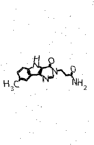 Cc1ccc2[nH]c3c(=O)n(CCC(N)=O)cnc3c2c1